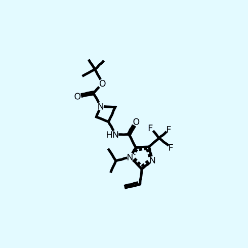 C=Cc1nc(C(F)(F)F)c(C(=O)NC2CN(C(=O)OC(C)(C)C)C2)n1C(C)C